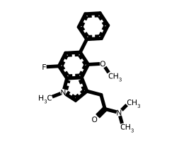 COc1c(-c2ccccc2)cc(F)c2c1c(CC(=O)N(C)C)cn2C